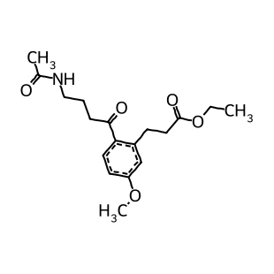 CCOC(=O)CCc1cc(OC)ccc1C(=O)CCCNC(C)=O